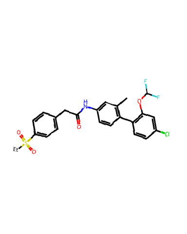 CCS(=O)(=O)c1ccc(CC(=O)Nc2ccc(-c3ccc(Cl)cc3OC(F)F)c(C)c2)cc1